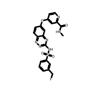 CNC(=O)c1cc(Oc2ccc3nnc(NS(=O)(=O)c4cccc(CF)c4)nc3c2)ccn1